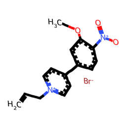 C=CC[n+]1ccc(-c2ccc([N+](=O)[O-])c(OC)c2)cc1.[Br-]